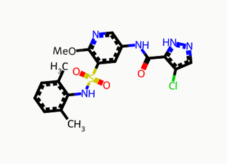 COc1ncc(NC(=O)c2[nH]ncc2Cl)cc1S(=O)(=O)Nc1c(C)cccc1C